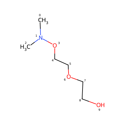 CN(C)OCCOCCO